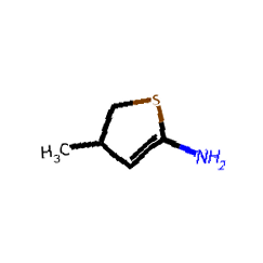 CC1C=C(N)SC1